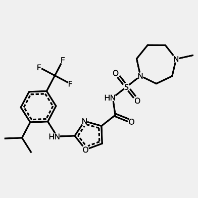 CC(C)c1ccc(C(F)(F)F)cc1Nc1nc(C(=O)NS(=O)(=O)N2CCCN(C)CC2)co1